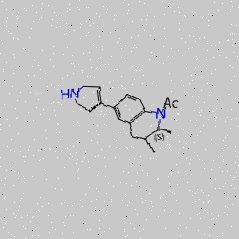 CC(=O)N1c2ccc(C3=CCNCC3)cc2CC(C)[C@@H]1C